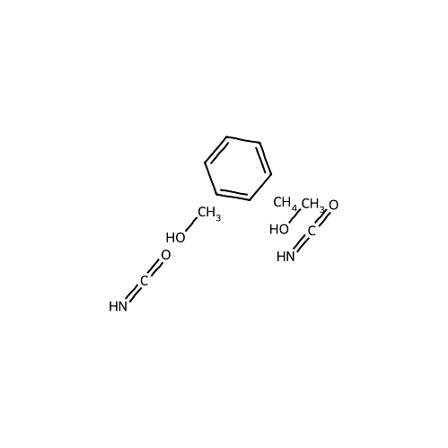 C.CO.CO.N=C=O.N=C=O.c1ccccc1